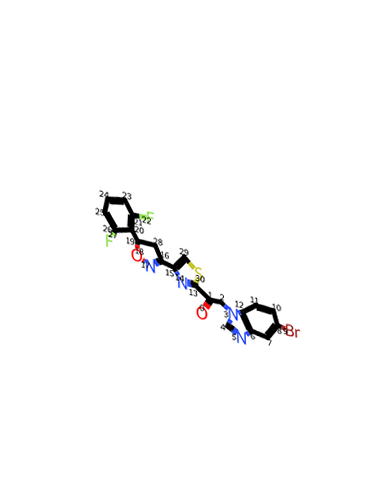 O=C(Cn1cnc2cc(Br)ccc21)c1nc(C2=NOC(c3c(F)cccc3F)C2)cs1